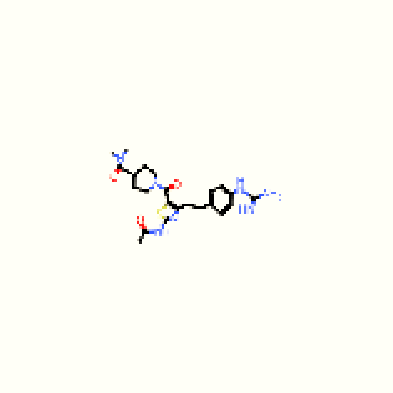 CC(=O)Nc1nc(CCc2ccc(NC(=N)N)cc2)c(C(=O)N2CCC(C(=O)N(C)C)CC2)s1